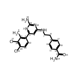 Cc1c(-c2cc(NCCc3ccc(C(N)=O)cc3)nc(N)n2)ccc(Cl)c1Cl